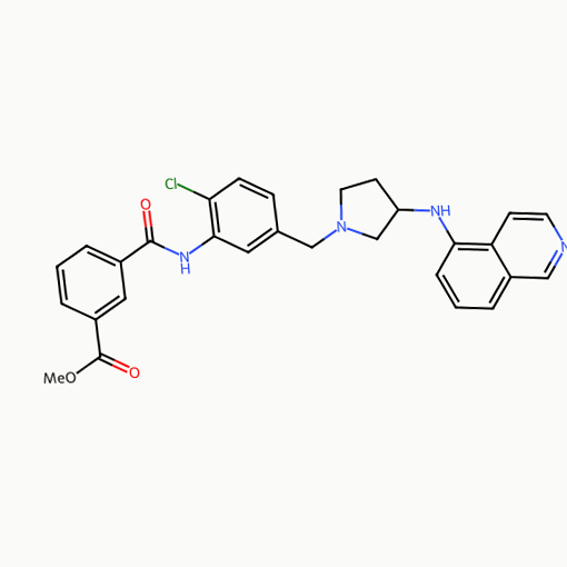 COC(=O)c1cccc(C(=O)Nc2cc(CN3CCC(Nc4cccc5cnccc45)C3)ccc2Cl)c1